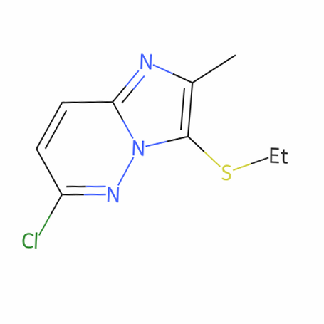 CCSc1c(C)nc2ccc(Cl)nn12